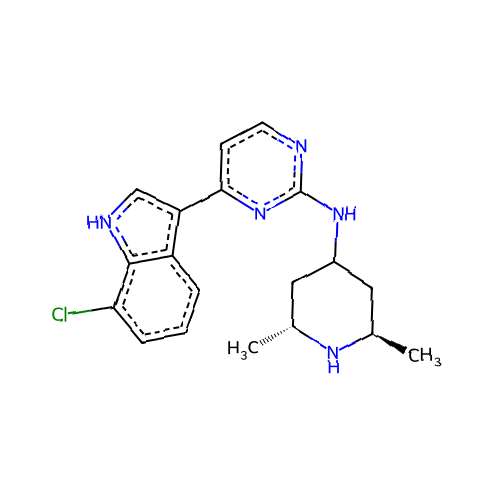 C[C@@H]1CC(Nc2nccc(-c3c[nH]c4c(Cl)cccc34)n2)C[C@@H](C)N1